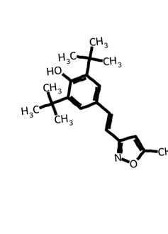 Cc1cc(C=Cc2cc(C(C)(C)C)c(O)c(C(C)(C)C)c2)no1